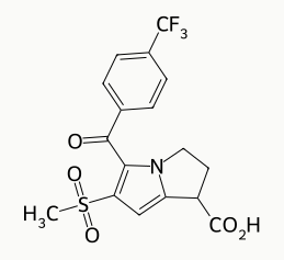 CS(=O)(=O)c1cc2n(c1C(=O)c1ccc(C(F)(F)F)cc1)CCC2C(=O)O